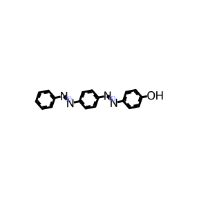 Oc1ccc(/N=N/c2ccc(/N=N/c3ccccc3)cc2)cc1